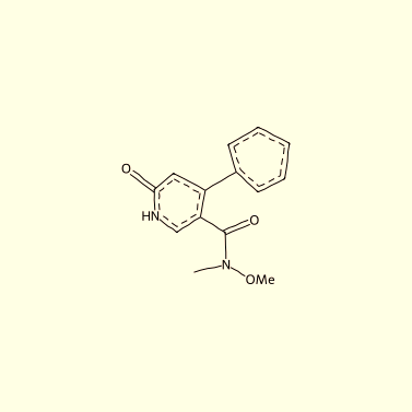 CON(C)C(=O)c1c[nH]c(=O)cc1-c1ccccc1